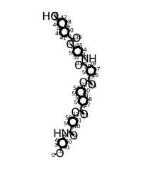 COc1ccc(NC(=O)c2ccc(OC(=O)c3ccc4cc(OC(=O)c5cccc(C(=O)Nc6ccc(OC(=O)c7ccc8cc(O)ccc8c7)cc6)c5)ccc4c3)cc2)cc1